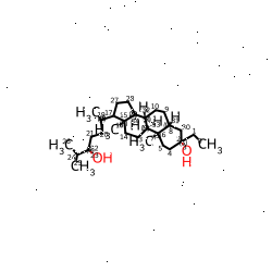 CC[C@]1(O)CC[C@@]2(C)[C@H](CC[C@@H]3[C@@H]2CC[C@]2(C)C([C@H](C)CC[C@@H](O)C(C)C)CC[C@@H]32)C1